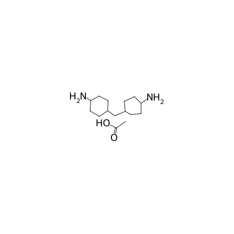 CC(=O)O.NC1CCC(CC2CCC(N)CC2)CC1